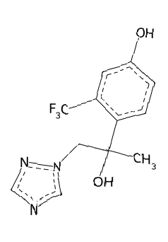 CC(O)(Cn1cncn1)c1ccc(O)cc1C(F)(F)F